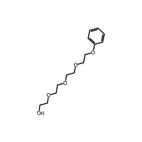 OCCOCCOCCOCCOc1ccccc1